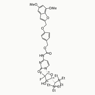 CC[N+](CC)(CC)[C]([C@H]1O[C@@H](n2ccc(NC(=O)OCc3ccc(OCc4cc5cc(OC)cc(OC)c5o4)cc3)nc2=O)C(F)(F)[C@@H]1O)[N+](CC)(CC)CC